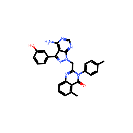 Cc1ccc(-n2c(Cn3nc(-c4cccc(O)c4)c4c(N)ncnc43)nc3cccc(C)c3c2=O)cc1